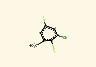 O=C(O)c1cc(F)cc(Cl)c1F